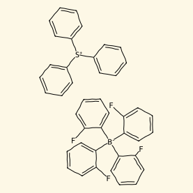 Fc1ccccc1[B-](c1ccccc1F)(c1ccccc1F)c1ccccc1F.c1ccc([S+](c2ccccc2)c2ccccc2)cc1